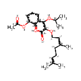 CC(=O)Oc1cccc2c(OC(C)C)c(OCC=C(C)CCC=C(C)C)c(=O)oc12